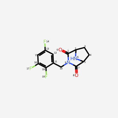 O=C1C2CCC(N2)C(=O)N1Cc1cc(F)cc(F)c1F